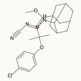 COC(=O)C12CC3CC(C1)C(N/C(=N/C#N)C(C)(C)Oc1ccc(Cl)cc1)C(C3)C2